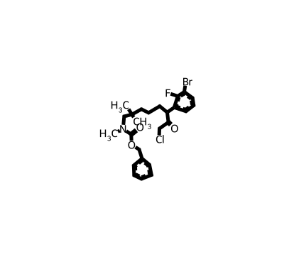 CN(CC(C)(C)CCCC(C(=O)CCl)c1cccc(Br)c1F)C(=O)OCc1ccccc1